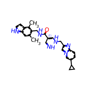 Cc1cc2[nH]ccc2c(C)c1CNC(=O)/C(C=N)=C/NCc1cn2cc(C3CC3)ccc2n1